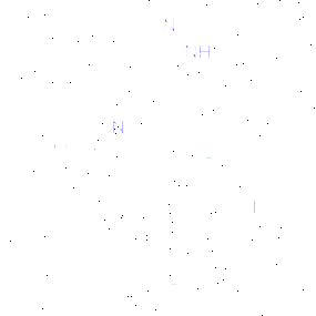 O=C1CC(c2cc(F)cc(F)c2F)CN1Cc1cn[nH]c1